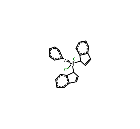 [Cl][Hf]([Cl])(=[Al][c]1ccccc1)([CH]1C=Cc2ccccc21)[CH]1C=Cc2ccccc21